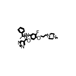 C[C@@H](c1ccccc1)N(Nc1ccc(OCCCN2CCN(C)CC2)c(F)c1)C(=O)c1cncnc1